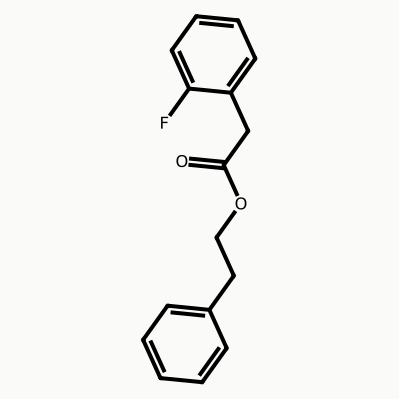 O=C(Cc1ccccc1F)OCCc1ccccc1